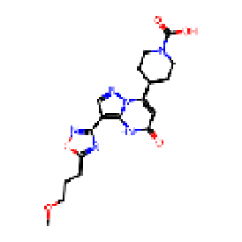 COCCCc1nc(-c2cnn3c(C4CCN(C(=O)O)CC4)cc(=O)[nH]c23)no1